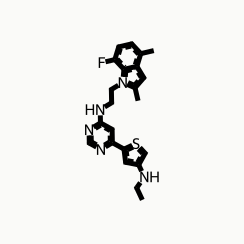 CCNc1csc(-c2cc(NCCn3c(C)cc4c(C)ccc(F)c43)ncn2)c1